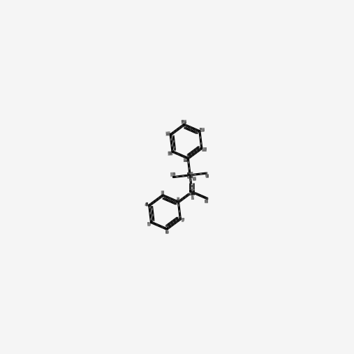 C[SiH](c1ccccc1)[Si](C)(C)c1ccccc1